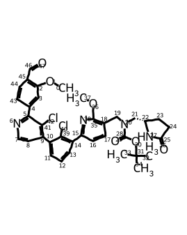 COc1cc(-c2nccc(-c3cccc(-c4ccc(CN(C[C@@H]5CCC(=O)N5)C(=O)OC(C)(C)C)c(OC)n4)c3Cl)c2Cl)ccc1C=O